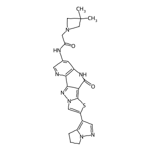 CC1(C)CN(CC(=O)Nc2cnc3c(c2)[nH]c(=O)c2c3nn3cc(-c4cnn5c4CCC5)sc23)C1